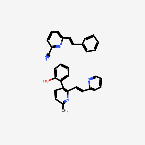 Cc1ccc(-c2ccccc2O)c(C=Cc2ccccn2)n1.N#Cc1cccc(C=Cc2ccccc2)n1